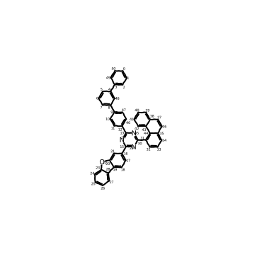 c1ccc(-c2cccc(-c3ccc(-c4nc(-c5ccc6c(c5)oc5ccccc56)nc(-c5cccc6ccc7ccccc7c56)n4)cc3)c2)cc1